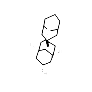 C[C@@H]1C[C@@H]2C[C@H](C1)C[C@@H](N1C3CCCC1CC(=O)C3)C2